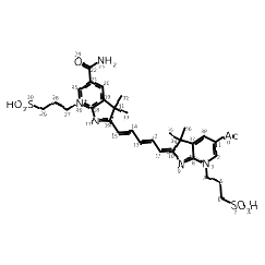 CC(=O)C1=CN(CCCS(=O)(=O)O)C2=N/C(=C/C=C/C=C/C3=Nc4c(cc(C(N)=O)c[n+]4CCCS(=O)(=O)O)C3(C)C)C(C)(C)C2=C1